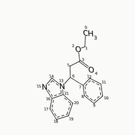 CCOC(=O)CC(c1ccccc1)n1cnc2ccccc21